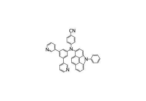 N#Cc1ccc(N(c2cc(-c3cccnc3)cc(-c3cccnc3)c2)c2ccc3c4c2ccc2cccc(c24)n3-c2ccccc2)cc1